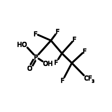 O=P(O)(O)C(F)(F)C(F)(F)C(F)(F)C(F)(F)F